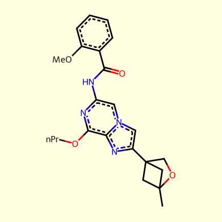 CCCOc1nc(NC(=O)c2ccccc2OC)cn2cc(C34COC(C)(C3)C4)nc12